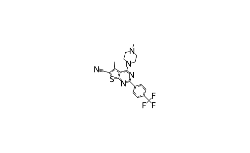 Cc1c(C#N)sc2nc(-c3ccc(C(F)(F)F)cc3)nc(N3CCN(C)CC3)c12